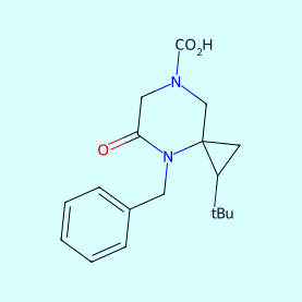 CC(C)(C)C1CC12CN(C(=O)O)CC(=O)N2Cc1ccccc1